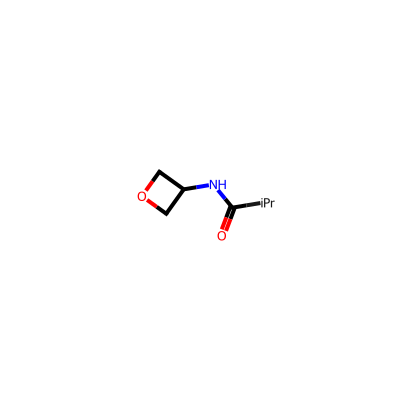 CC(C)C(=O)NC1COC1